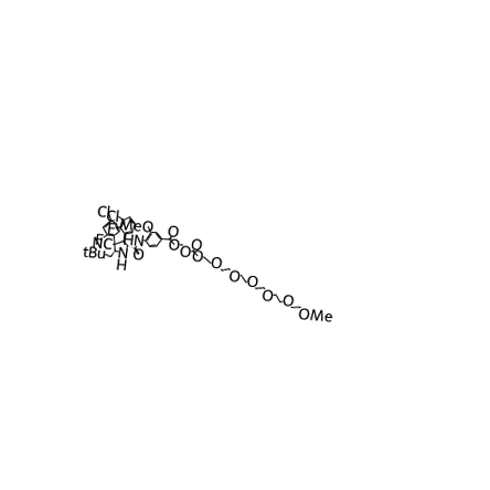 COCCOCCOCCOCCOCCOCCOC(=O)OCOC(=O)c1ccc(NC(=O)[C@@H]2N[C@@H](CC(C)(C)C)[C@](C#N)(c3ccc(Cl)cc3F)[C@H]2c2cccc(Cl)c2F)c(OC)c1